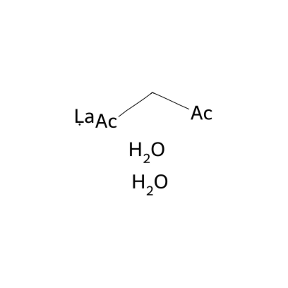 CC(=O)CC(C)=O.O.O.[La]